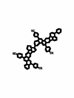 N#Cc1ccc(-c2cc3c4cc5c(cc4c(-c4ccc(C#N)cc4)cc3c3ccccc23)-c2cccc3c(-c4ccc6c(-c7ccc(C#N)cc7)cc7c8cc9c(cc8c(-c8ccc(C#N)cc8)cc7c6c4)-c4cccc6c(-c7ccccc7)ccc-9c46)ccc-5c23)cc1